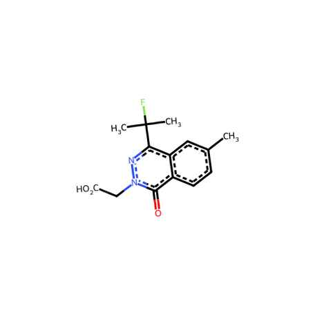 Cc1ccc2c(=O)n(CC(=O)O)nc(C(C)(C)F)c2c1